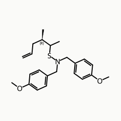 C=CC[C@@H](C)C(C)SN(Cc1ccc(OC)cc1)Cc1ccc(OC)cc1